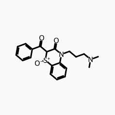 CN(C)CCCN1C(=O)C(C(=O)c2ccccc2)[S+]([O-])c2ccccc21